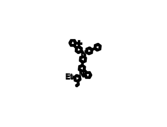 C=Cc1cc(CC)cc(-n2c3ccccc3c3cc(-c4ccc(N(c5ccc(-c6ccccc6)cc5)c5ccc6c(c5)C(C)(C)c5ccccc5-6)cc4)ccc32)c1